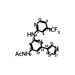 CC(=O)Nc1cc(Nc2cc(C(F)(F)F)ccn2)nc(-c2cncs2)c1